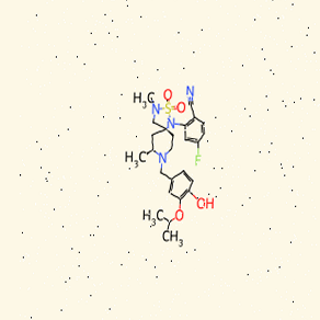 CC(C)Oc1cc(CN2CC[C@@]3(C[C@@H]2C)CN(C)S(=O)(=O)N3c2cc(F)ccc2C#N)ccc1O